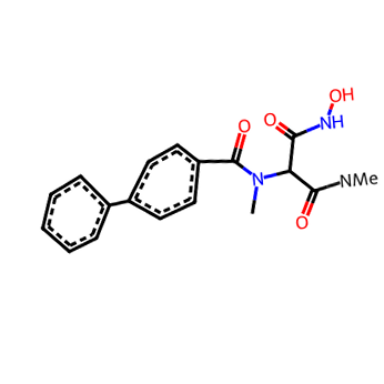 CNC(=O)C(C(=O)NO)N(C)C(=O)c1ccc(-c2ccccc2)cc1